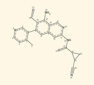 Cc1ccncc1-c1cc2cc(NC(=O)C3CC3C#N)ncc2c(N)c1C=O